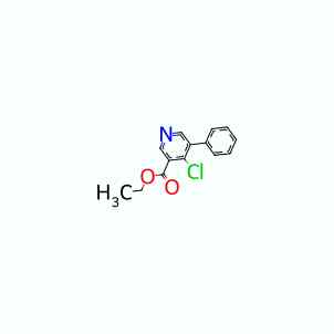 CCOC(=O)c1cncc(-c2ccccc2)c1Cl